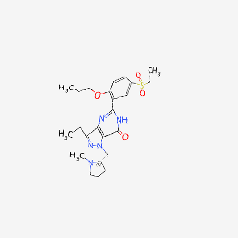 CCCOc1ccc(S(=O)(=O)CC)cc1-c1nc2c(CC)nn(C[C@@H]3CCCN3C)c2c(=O)[nH]1